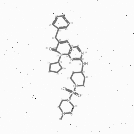 CN1CCN(S(=O)(=O)N2CCC(Nc3ncc4cc(Cc5ccccc5)c(=O)n(C5CCCC5)c4n3)CC2)CC1